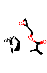 C=C(C)C(=O)OCC1CO1.C=C=C.C=CCCCCCC